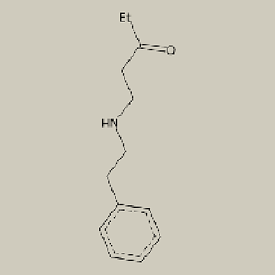 CCC(=O)CCNCCc1ccccc1